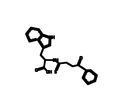 O=C(CCC(=S)NC(Cc1c[nH]c2ccccc12)C(=O)O)c1ccccc1